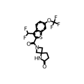 O=C1CCC2(CN(C(=O)c3sc4cc(OC(F)(F)F)ccc4c3C(F)F)C2)N1